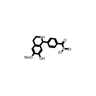 CCN(CC)C(=O)c1ccc(C2NCCc3cc(OC)c(O)cc32)cc1